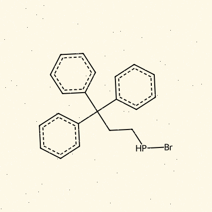 BrPCCC(c1ccccc1)(c1ccccc1)c1ccccc1